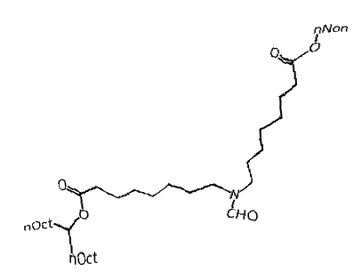 CCCCCCCCCOC(=O)CCCCCCCN(C=O)CCCCCCCC(=O)OC(CCCCCCCC)CCCCCCCC